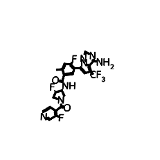 Cc1cc(F)c(-c2cc(C(F)(F)F)c3c(N)ncnn23)cc1C(=O)N[C@@H]1CN(C(=O)c2ccncc2F)C[C@@H]1F